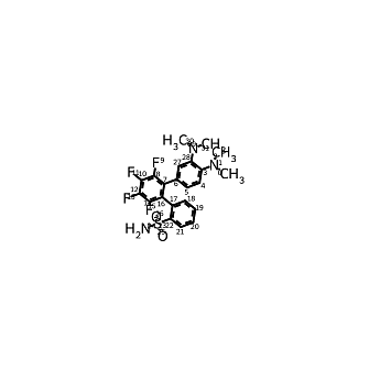 CN(C)c1ccc(-c2c(F)c(F)c(F)c(F)c2-c2ccccc2S(N)(=O)=O)cc1N(C)C